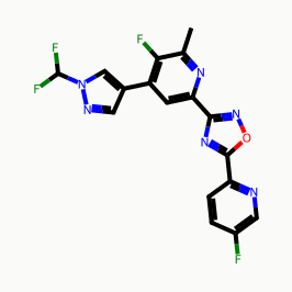 Cc1nc(-c2noc(-c3ccc(F)cn3)n2)cc(-c2cnn(C(F)F)c2)c1F